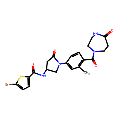 Cc1cc(N2CC(NC(=O)c3ccc(Br)s3)CC2=O)ccc1C(=O)N1CCNC(=O)CC1